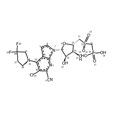 N#Cc1nc2c(ccn2[C@@H]2O[C@H](CS(=O)(=O)CP(=O)(O)O)[C@@H](O)[C@H]2O)c(N2CCC(F)(F)C2)c1Cl